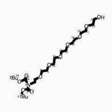 CC(C)(C)OC(=O)N(CCOCCOCCOCCOCCOCCOCCO)C(=O)OC(C)(C)C